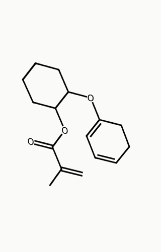 C=C(C)C(=O)OC1CCCCC1OC1=CC=CCC1